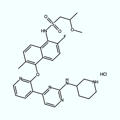 COC(C)CS(=O)(=O)Nc1c(F)ccc2c(Oc3ncccc3-c3ccnc(NC4CCCNC4)n3)c(C)ccc12.Cl